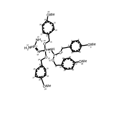 COc1ccc(COP(N[PH](N=[PH](N)N)(OCc2ccc(OC)cc2)OCc2ccc(OC)cc2)OCc2ccc(OC)cc2)cc1